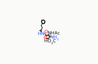 CC(=O)N[C@@H]1[C@@H](N)C=C(C(=O)O)O[C@H]1C(=O)NC1CC1CCc1ccccc1